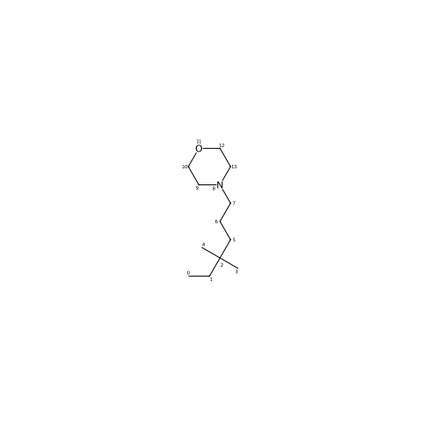 CCC(C)(C)CCCN1CCOCC1